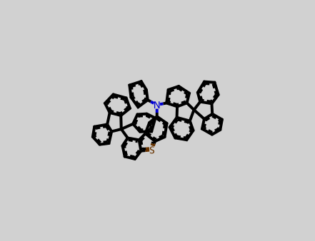 c1ccc(N(c2ccc3sc4cccc(C5(c6ccccc6)c6ccccc6-c6ccccc65)c4c3c2)c2cccc3c2-c2ccccc2C32c3ccccc3-c3ccccc32)cc1